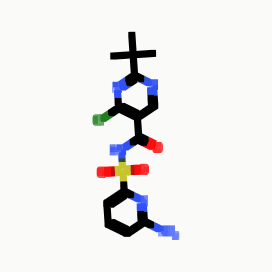 CC(C)(C)c1ncc(C(=O)NS(=O)(=O)c2cccc(N)n2)c(Cl)n1